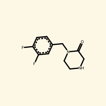 O=C1CNCCN1Cc1ccc(F)c(F)c1